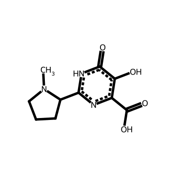 CN1CCCC1c1nc(C(=O)O)c(O)c(=O)[nH]1